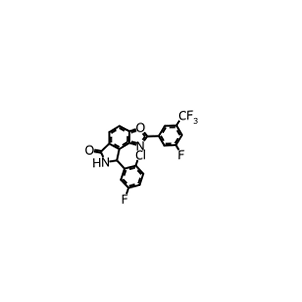 O=C1NC(c2cc(F)ccc2Cl)c2c1ccc1oc(-c3cc(F)cc(C(F)(F)F)c3)nc21